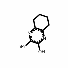 CCCc1nc2c(nc1O)CCCC2